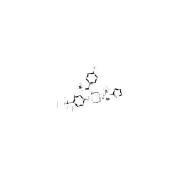 C[C@](O)(c1ccc(N2CCN(S(=O)(=O)c3cccs3)C[C@@H]2C(=S=O)c2ccc(F)cc2)cc1)C(F)(F)F